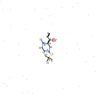 C=C/C(Br)=C1/CN(SC(C)(C)C)CCN1C